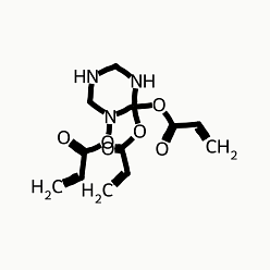 C=CC(=O)ON1CNCNC1(OC(=O)C=C)OC(=O)C=C